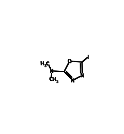 CN(C)c1nnc(I)o1